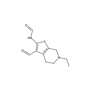 CCN1CCc2c(sc(NC=O)c2C=O)C1